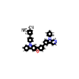 N#Cc1ccc(-c2ccc(-n3c4ccccc4c4cc5oc6ccc(-c7ccc8c(c7)c7ccncc7n8-c7ccccc7)cc6c5cc43)cc2)cc1C#N